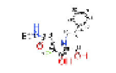 CCNC(=O)CC1[C@H](F)[C@H](O)[C@@H](CO)N1CCc1ccccc1